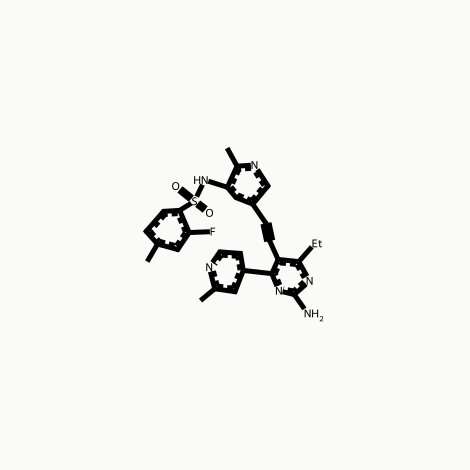 CCc1nc(N)nc(-c2ccnc(C)c2)c1C#Cc1cnc(C)c(NS(=O)(=O)c2ccc(C)cc2F)c1